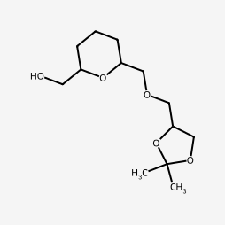 CC1(C)OCC(COCC2CCCC(CO)O2)O1